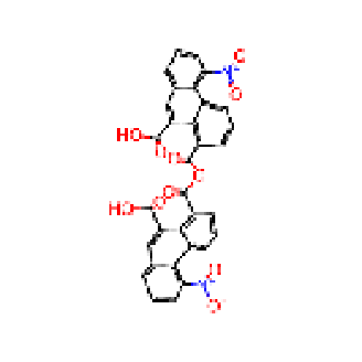 O=C(O)c1cc2cccc([N+](=O)[O-])c2c2cccc(C(=O)OC(=O)c3cccc4c3c(C(=O)O)cc3cccc([N+](=O)[O-])c34)c12